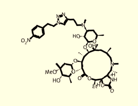 CC[C@H]1OC(=O)[C@H](C)[C@@H](O[C@H]2C[C@@](C)(OC)[C@@H](O)[C@H](C)O2)[C@H](C)[C@@H](O[C@@H]2O[C@H](C)C[C@H](N(C)CCc3cn(CCc4ccc([N+](=O)[O-])cc4)nn3)[C@H]2O)[C@](C)(O)C[C@@H](C)CN(C)[C@H](C)[C@H]2NC(=O)O[C@@H]21